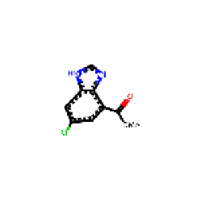 COC(=O)c1cc(Cl)cc2[nH]cnc12